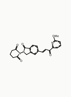 COc1cccc(C(=O)/C=C/c2ccc3c(c2)CN(N2C(=O)CCCC2=O)C3=O)n1